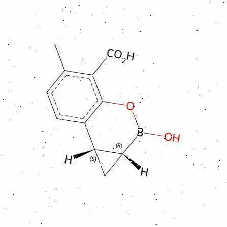 Cc1ccc2c(c1C(=O)O)OB(O)[C@@H]1C[C@H]21